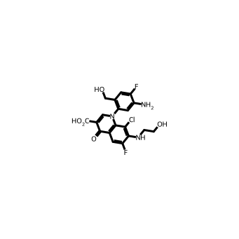 Nc1cc(-n2cc(C(=O)O)c(=O)c3cc(F)c(NCCO)c(Cl)c32)c(CO)cc1F